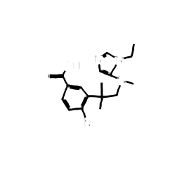 CCn1cncc1N(C)CC(C)(C)c1cc(C(=O)O)ccc1N